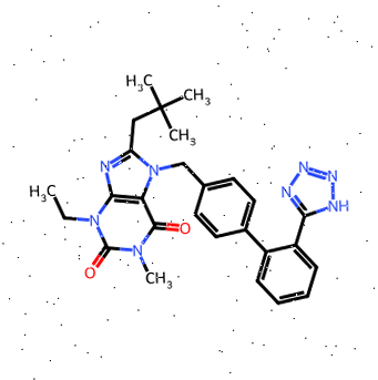 CCn1c(=O)n(C)c(=O)c2c1nc(CC(C)(C)C)n2Cc1ccc(-c2ccccc2-c2nnn[nH]2)cc1